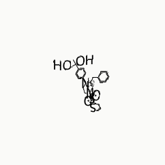 CC(O)(CO)c1ccc(N2CCN(S(=O)(=O)c3cccs3)C[C@@H]2Cc2ccccc2)cc1